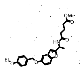 CCOc1ccc(COc2ccc3oc(C(C)NC(=O)CCCC(=O)OC)cc3c2)cc1